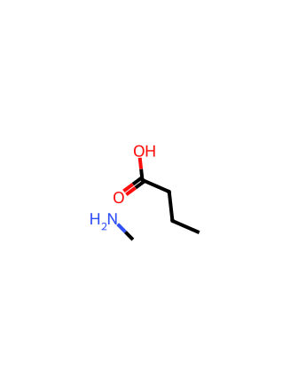 CCCC(=O)O.CN